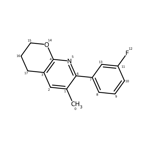 Cc1cc2c(nc1-c1cccc(F)c1)OCCC2